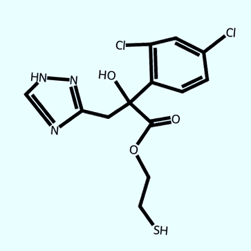 O=C(OCCS)C(O)(Cc1nc[nH]n1)c1ccc(Cl)cc1Cl